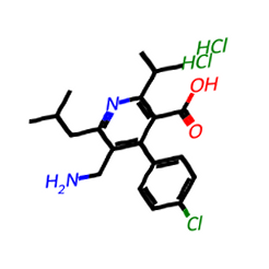 CC(C)Cc1nc(C(C)C)c(C(=O)O)c(-c2ccc(Cl)cc2)c1CN.Cl.Cl